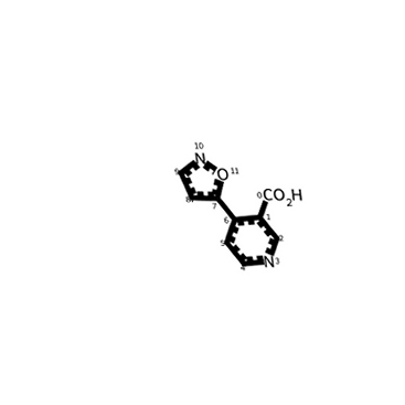 O=C(O)c1cnccc1-c1[c][c]no1